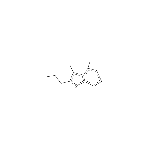 CCCc1sc2cccc(C)c2c1C